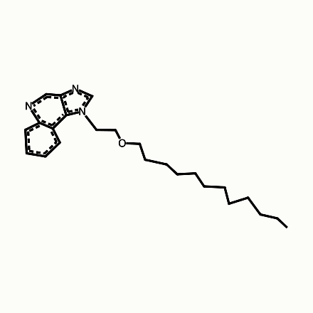 CCCCCCCCCCCCOCCn1cnc2cnc3ccccc3c21